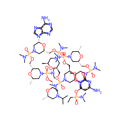 CCP(=O)(OC[C@@H]1CN(P(=O)(OC[C@@H]2CN(P(=O)(OC[C@@H]3CN(P(=O)(OC[C@@H]4CN(P(=O)(OC[C@@H]5CN(P(=O)(OC[C@@H]6CN(P(=O)(OC[C@@H]7CN(C(C)C)C[C@H](C)O7)N(C)C)C[C@H](C)O6)N(C)C)C[C@H](n6cnc7c(N)ncnc76)O5)N(C)C)C[C@H](C)O4)N(C)C)C[C@H](n4ccc(N)nc4=O)O3)N(C)C)C[C@H](C)O2)N(C)C)C[C@H](C)O1)N(C)C